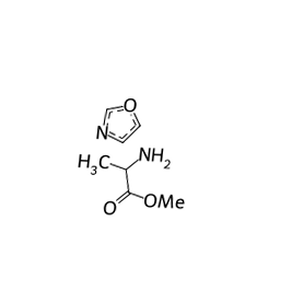 COC(=O)C(C)N.c1cocn1